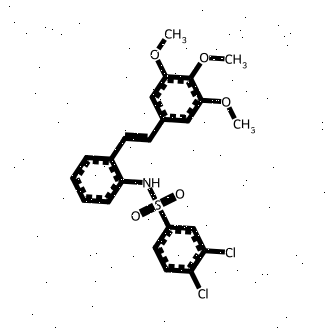 COc1cc(C=Cc2ccccc2NS(=O)(=O)c2ccc(Cl)c(Cl)c2)cc(OC)c1OC